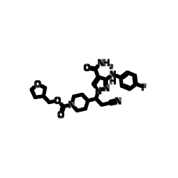 N#CCC(C1CCN(C(=O)OCC2CCOC2)CC1)n1cc(C(N)=O)c(Nc2ccc(F)cc2)n1